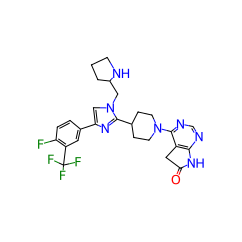 O=C1Cc2c(ncnc2N2CCC(c3nc(-c4ccc(F)c(C(F)(F)F)c4)cn3CC3CCCN3)CC2)N1